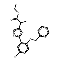 CCOC(=O)C(C)c1csc(-c2cc(Cl)ccc2OCc2ccccc2)n1